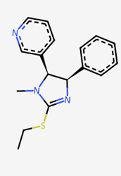 CCSC1=N[C@H](c2ccccc2)[C@H](c2cccnc2)N1C